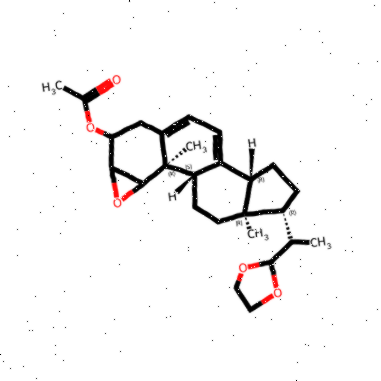 CC(=O)OC1CC2=CC=C3[C@@H]4CC[C@H](C(C)C5OCCO5)[C@@]4(C)CC[C@@H]3[C@@]2(C)C2OC12